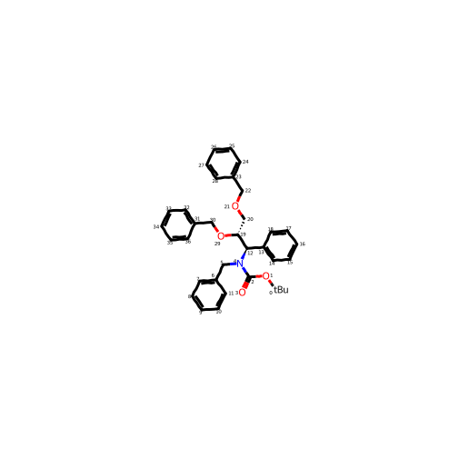 CC(C)(C)OC(=O)N(Cc1ccccc1)[C@H](c1ccccc1)[C@@H](COCc1ccccc1)OCc1ccccc1